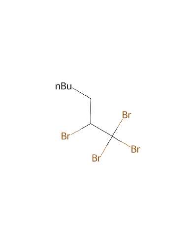 CCCCCC(Br)C(Br)(Br)Br